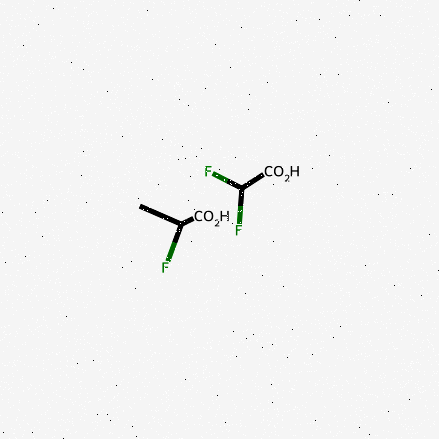 CC(F)C(=O)O.O=C(O)C(F)F